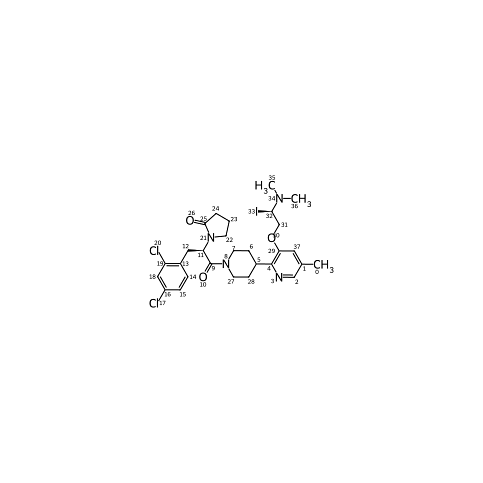 Cc1cnc(C2CCN(C(=O)[C@@H](Cc3ccc(Cl)cc3Cl)N3CCCC3=O)CC2)c(OC[C@@H](I)N(C)C)c1